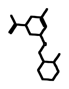 C=C(C)C1CC(C)=CC(OCC2CCCCC2C)C1